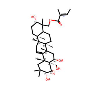 C/C=C(\C)C(=O)OCC1(C)C2CC[C@]3(C)[C@H](CC=C4[C@H]5CC(C)(C)[C@@H](O)[C@H](O)[C@]5(CO)[C@H](O)C[C@]43C)[C@@]2(C)CC[C@@H]1O